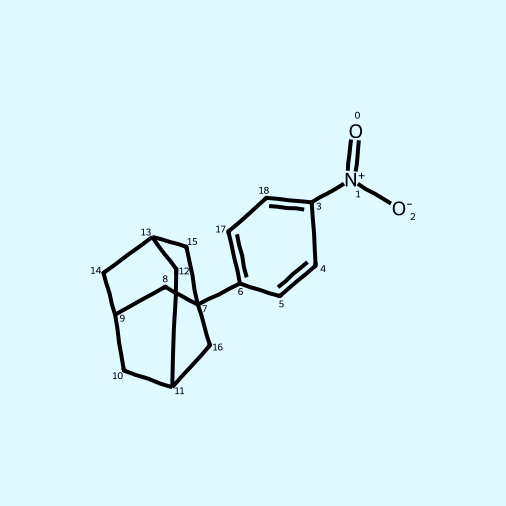 O=[N+]([O-])c1ccc(C23CC4CC(CC(C4)C2)C3)cc1